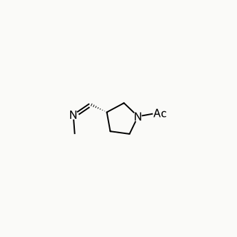 C/N=C\[C@H]1CCN(C(C)=O)C1